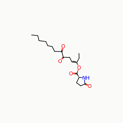 CCCCCCCC(=O)C(=O)CC=C(CC)OC(=O)[C@@H]1CCC(=O)N1